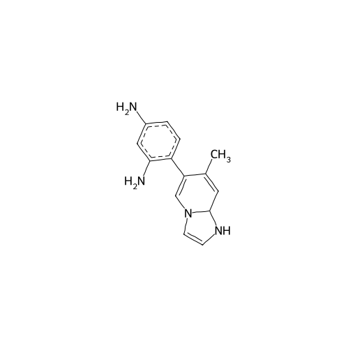 CC1=CC2NC=CN2C=C1c1ccc(N)cc1N